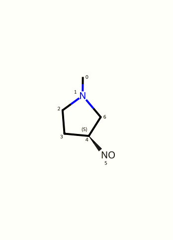 CN1CC[C@H](N=O)C1